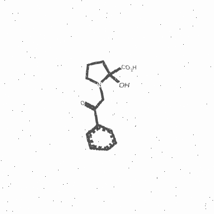 O=C(CN1CCCC1(O)C(=O)O)c1ccccc1